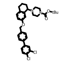 CC(C)(C)OC(=O)N1CCN(C2CCCc3ccc(OCc4ccc(-c5ccc(Cl)c(Cl)c5)cc4)cc32)CC1